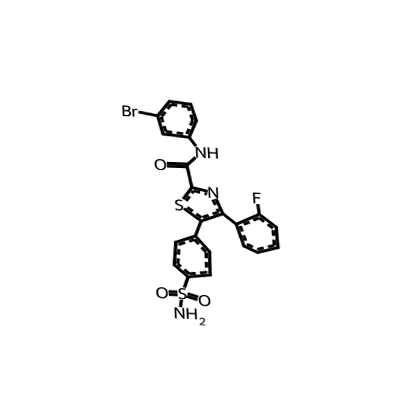 NS(=O)(=O)c1ccc(-c2sc(C(=O)Nc3cccc(Br)c3)nc2-c2ccccc2F)cc1